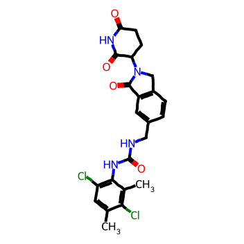 Cc1cc(Cl)c(NC(=O)NCc2ccc3c(c2)C(=O)N(C2CCC(=O)NC2=O)C3)c(C)c1Cl